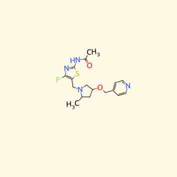 CC(=O)Nc1nc(F)c(CN2CC(OCc3ccncc3)CC2C)s1